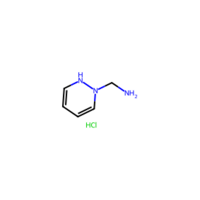 Cl.NCN1C=CC=CN1